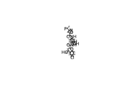 CC(F)c1cc(C(=O)NC23CCC(NC(=O)[C@H]4C[C@@H](O)c5cc(Cl)ccc5O4)(CC2)[C@@H](O)C3)on1